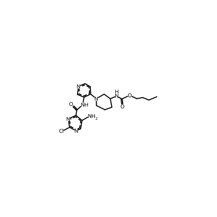 CCCCOC(=O)NC1CCCN(c2ccncc2NC(=O)c2nc(Cl)ncc2N)C1